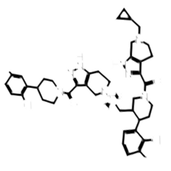 O=C(c1n[nH]c2c1CN(S(=O)(=O)CC1CN(C(=O)c3n[nH]c4c3CCN(CC3CC3)C4)CCC1c1cccc(F)c1Cl)CC2)N1CCC(c2cc(F)ccc2Cl)CC1